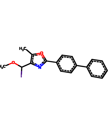 COC(I)c1nc(-c2ccc(-c3ccccc3)cc2)oc1C